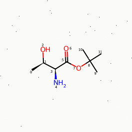 C[C@@H](O)[C@H](N)C(=O)OC(C)(C)C